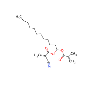 C=C(C)C(=O)OC(CCCCCCCCCCC)OC(=O)C(=C)C#N